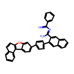 N=C(/N=C(\N)c1cc2ccccc2cc1-c1ccc(-c2ccc3c(c2)oc2ccc4ccccc4c23)cc1)c1ccccc1